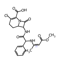 COC(=O)/C=C(/C)NC(C(=O)NC1C(=O)N2C(C(=O)O)=C(Cl)CCC12)c1ccccc1